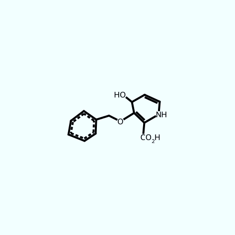 O=C(O)C1=C(OCc2ccccc2)C(O)C=CN1